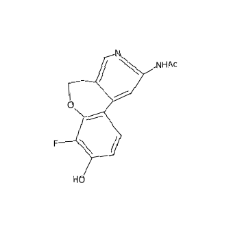 CC(=O)Nc1cc2c(cn1)COc1c-2ccc(O)c1F